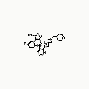 Cc1onc(C(C)C)c1-c1cc(F)ccc1Nc1cncnc1N1CC2(CN(CC3CCOCC3)C2)C1